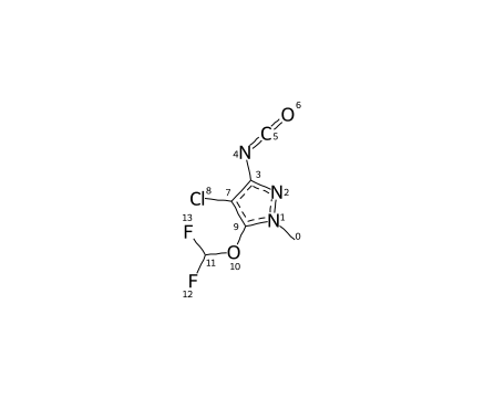 Cn1nc(N=C=O)c(Cl)c1OC(F)F